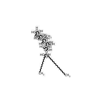 CCCCCCCCCCCCC/C=C/[C@@H](O)[C@H](CO[C@@H]1OC(CO)[C@@H](O[C@@H]2OC(CO)[C@H](O)[C@H](O[C@@H]3OC(CO)[C@@H](O)[C@H](O[C@@H]4OC(CO)[C@H](O)[C@H](O[C@H]5OC(CO)[C@H](O)[C@H](O)C5O)C4O)C3NC(C)=O)C2O)[C@H](O)C1O)NC(=O)CCCCCCCCCCCCCCCCCCCCC